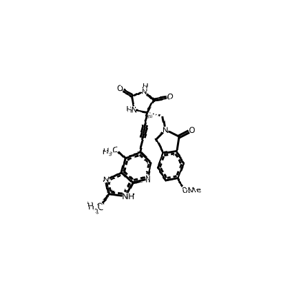 COc1ccc2c(c1)C(=O)N(C[C@]1(C#Cc3cnc4[nH]c(C)nc4c3C)NC(=O)NC1=O)C2